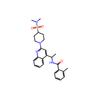 Cc1ccccc1C(=O)NC(C)c1cc(N2CCC(S(=O)(=O)N(C)C)CC2)nc2ccccc12